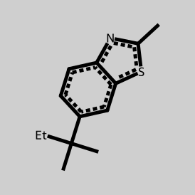 CCC(C)(C)c1ccc2nc(C)sc2c1